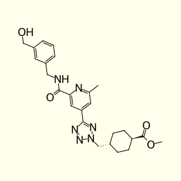 COC(=O)[C@H]1CC[C@H](Cn2nnc(-c3cc(C)nc(C(=O)NCc4cccc(CO)c4)c3)n2)CC1